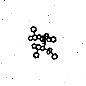 [Cl][Zr]([Cl])[SiH](CC1C(c2ccc(-c3ccccc3)o2)=Cc2c1cc1c(c2-c2ccccc2)CCC1)CC1C(c2ccc(-c3ccccc3)o2)=Cc2c1cc1c(c2-c2ccccc2)CCC1